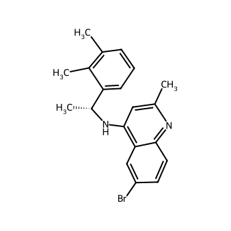 Cc1cc(N[C@H](C)c2cccc(C)c2C)c2cc(Br)ccc2n1